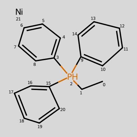 CC[PH](c1ccccc1)(c1ccccc1)c1ccccc1.[Ni]